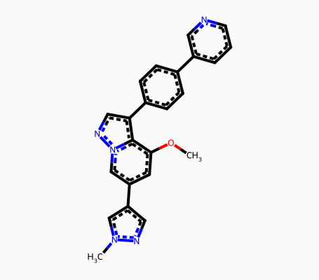 COc1cc(-c2cnn(C)c2)cn2ncc(-c3ccc(-c4cccnc4)cc3)c12